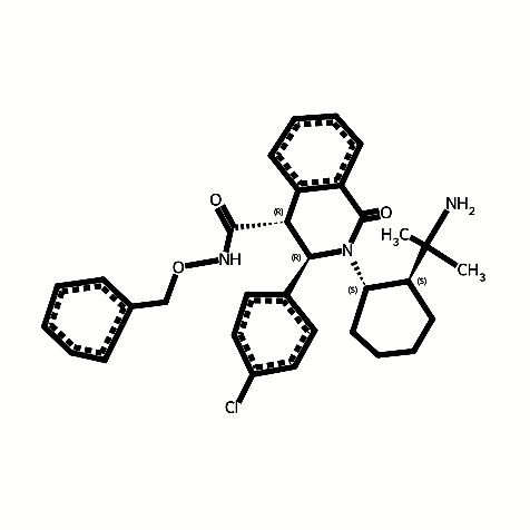 CC(C)(N)[C@H]1CCCC[C@@H]1N1C(=O)c2ccccc2[C@@H](C(=O)NOCc2ccccc2)[C@@H]1c1ccc(Cl)cc1